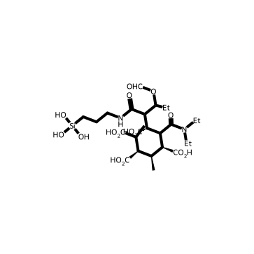 CCC(OC=O)C(C(=O)NCCC[Si](O)(O)O)[C@@H](C(=O)O)C(C(=O)N(CC)CC)[C@@H](C(=O)O)[C@@H](C)[C@@H](C(=O)O)C(C)C(=O)O